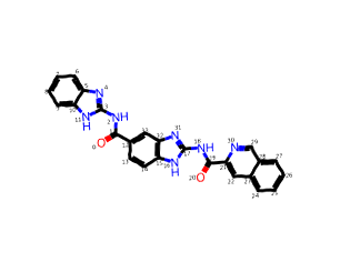 O=C(Nc1nc2ccccc2[nH]1)c1ccc2[nH]c(NC(=O)c3cc4ccccc4cn3)nc2c1